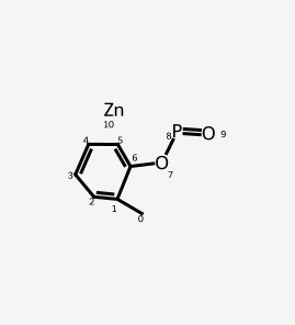 Cc1ccccc1OP=O.[Zn]